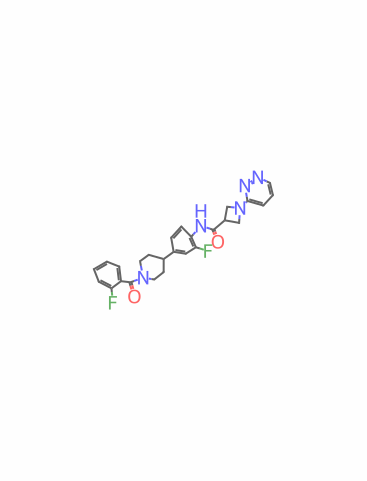 O=C(Nc1ccc(C2CCN(C(=O)c3ccccc3F)CC2)cc1F)C1CN(c2cccnn2)C1